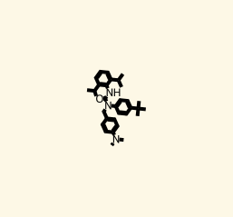 CC(C)c1cccc(C(C)C)c1NC(=O)N(Cc1ccc(N(C)C)cc1)c1ccc(C(C)(C)C)cc1